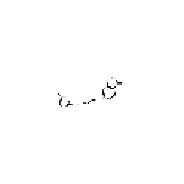 Cc1cnc(NOCCSc2ccc3c(=O)[nH][nH]c3c2)s1